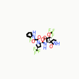 C[C@]1(C[C@H](NC(=O)[C@@H]2C[C@@H](C(F)(F)F)CN2C(=O)C(=O)Nc2ccccc2F)C(=O)COC(F)(F)F)CCNC1=O